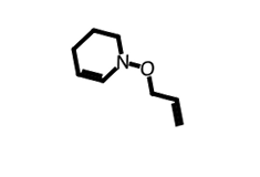 C=CCON1C=CCCC1